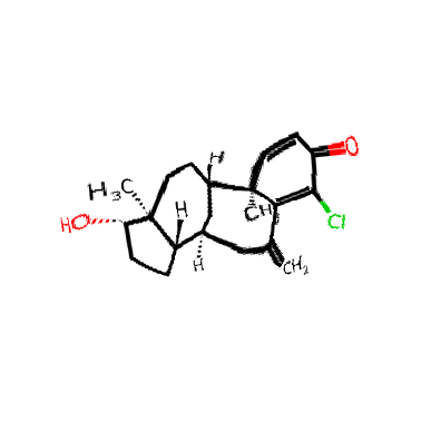 C=C1C[C@H]2[C@@H]3CC[C@H](O)[C@@]3(C)CC[C@@H]2[C@@]2(C)C=CC(=O)C(Cl)=C12